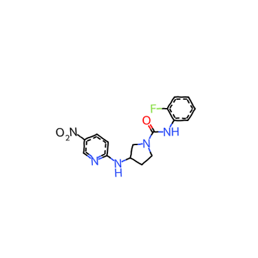 O=C(Nc1ccccc1F)N1CCC(Nc2ccc([N+](=O)[O-])cn2)C1